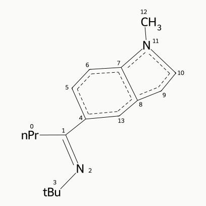 CCCC(=NC(C)(C)C)c1ccc2c(ccn2C)c1